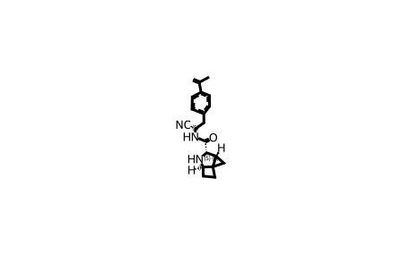 C=C(C)c1ccc(C[C@@H](C#N)NC(=O)[C@H]2N[C@@H]3CCC34C[C@@H]24)cc1